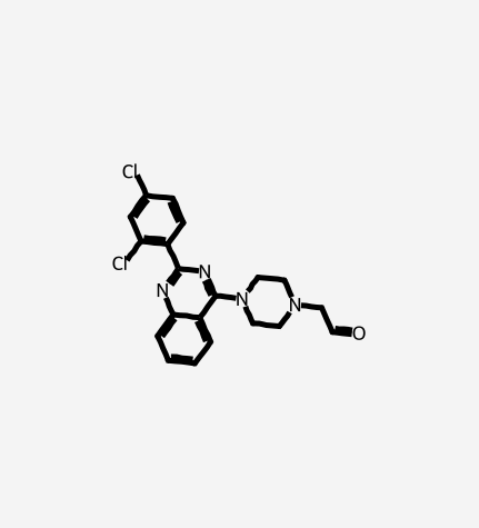 O=CCN1CCN(c2nc(-c3ccc(Cl)cc3Cl)nc3ccccc23)CC1